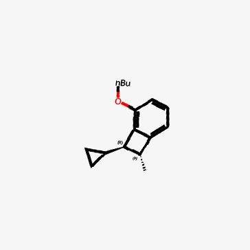 CCCCOc1cccc2c1[C@H](C1CC1)[C@H]2C